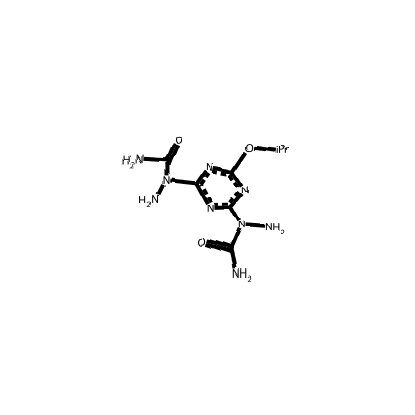 CC(C)Oc1nc(N(N)C(N)=O)nc(N(N)C(N)=O)n1